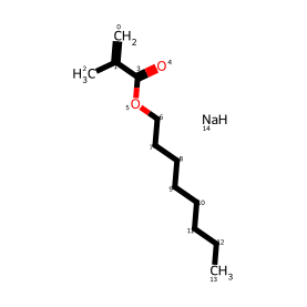 C=C(C)C(=O)OCCCCCCCC.[NaH]